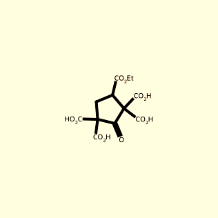 CCOC(=O)C1CC(C(=O)O)(C(=O)O)C(=O)C1(C(=O)O)C(=O)O